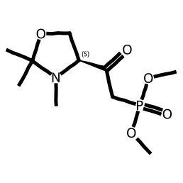 COP(=O)(CC(=O)[C@@H]1COC(C)(C)N1C)OC